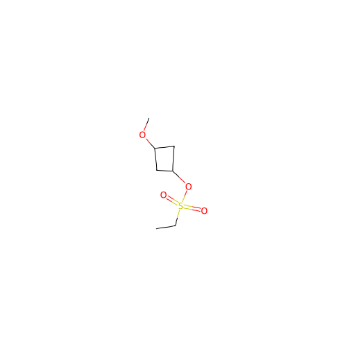 CCS(=O)(=O)OC1CC(OC)C1